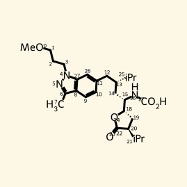 COCCCn1nc(C)c2ccc(C[C@@H](C[C@H](NC(=O)O)[C@@H]3C[C@@H](C(C)C)C(=O)O3)C(C)C)cc21